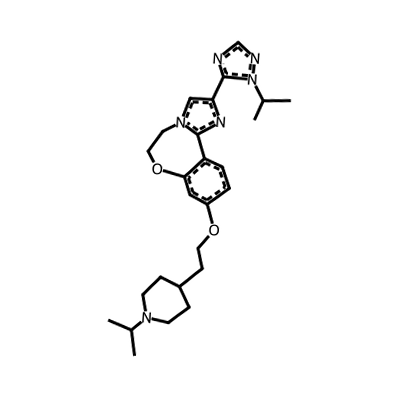 CC(C)N1CCC(CCOc2ccc3c(c2)OCCn2cc(-c4ncnn4C(C)C)nc2-3)CC1